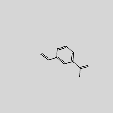 C=Cc1cccc(C(=C)C)c1